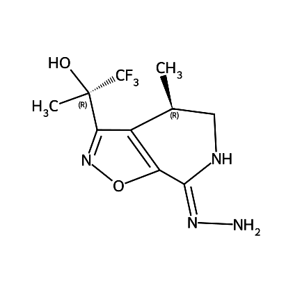 C[C@H]1CNC(=NN)c2onc([C@@](C)(O)C(F)(F)F)c21